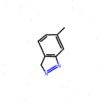 Cc1ccc2c(c1)N=NC2